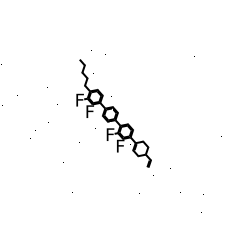 C=CC1CC=C(c2ccc(-c3ccc(-c4ccc(CCCCC)c(F)c4F)cc3)c(F)c2F)CC1